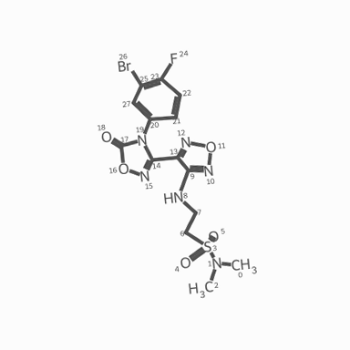 CN(C)S(=O)(=O)CCNc1nonc1-c1noc(=O)n1-c1ccc(F)c(Br)c1